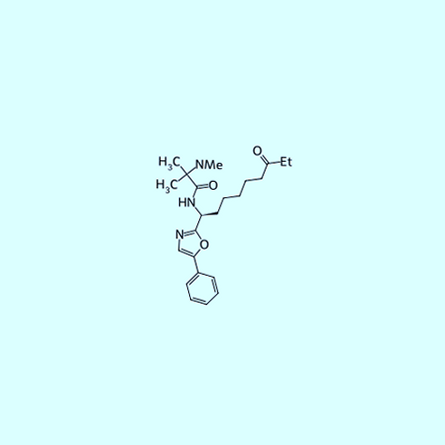 CCC(=O)CCCCC[C@H](NC(=O)C(C)(C)NC)c1ncc(-c2ccccc2)o1